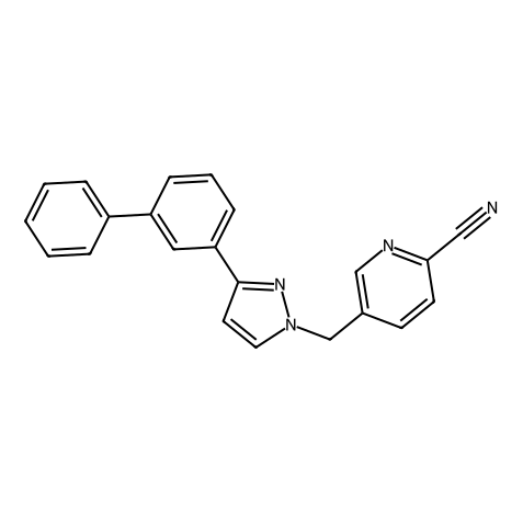 N#Cc1ccc(Cn2ccc(-c3cccc(-c4ccccc4)c3)n2)cn1